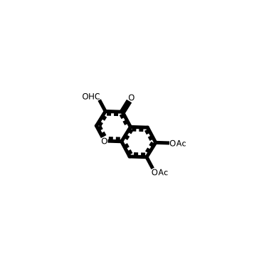 CC(=O)Oc1cc2occ(C=O)c(=O)c2cc1OC(C)=O